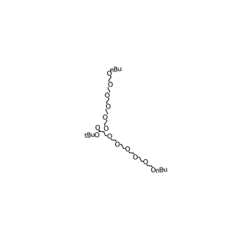 CCCCOCCOCCOCCOCCOCCOCC(OCCOCCOCCOCCOCCOCCCC)C(=O)OC(C)(C)C